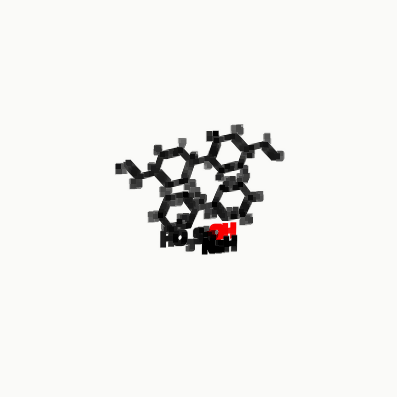 C=Cc1ccc(-c2ccc(C=C)cc2)cc1.O=S(=O)(O)O.[NaH].c1ccc(-c2ccccc2)cc1